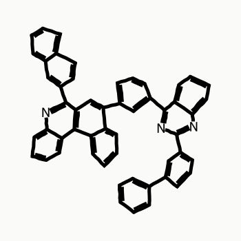 c1ccc(-c2cccc(-c3nc(-c4cccc(-c5cc6c(-c7ccc8ccccc8c7)nc7ccccc7c6c6ccccc56)c4)c4ccccc4n3)c2)cc1